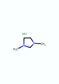 CN1CCN(C)C1.Cl